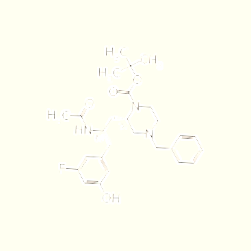 CC(=O)N[C@@H](Cc1cc(O)cc(F)c1)C[C@H]1CN(Cc2ccccc2)CCN1C(=O)OC(C)(C)C